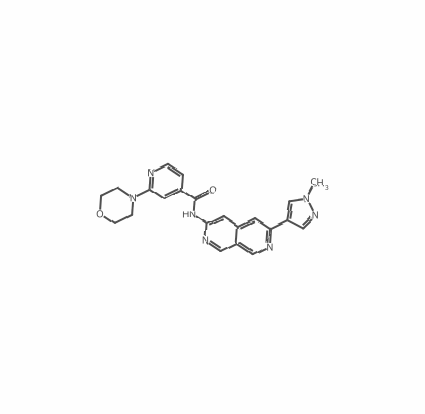 Cn1cc(-c2cc3cc(NC(=O)c4ccnc(N5CCOCC5)c4)ncc3cn2)cn1